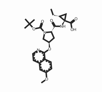 CC[C@@H]1C[C@]1(NC(=O)[C@@H]1C[C@@H](Oc2nccc3cc(OC)ccc23)CN1C(=O)OC(C)(C)C)C(=O)O